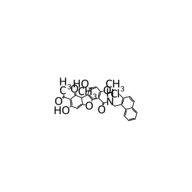 COc1cc(O)c2c(c1C(=O)NCc1c(Cl)ccc3ccccc13)OC1=CC(O)=C(C(C)=O)C(=O)[C@]12C